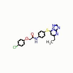 CCc1cc(Sc2ccc(NC(=O)COc3ccc(Cl)cc3)cc2)n2ncnc2n1